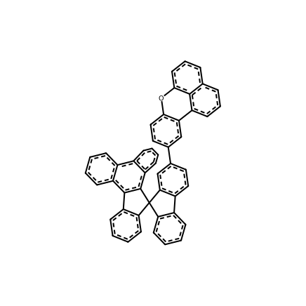 c1ccc2c(c1)-c1ccc(-c3ccc4c(c3)-c3cccc5cccc(c35)O4)cc1C21c2ccccc2-c2c1c1ccccc1c1ccccc21